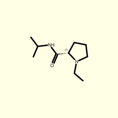 CCN1CCC[C@H]1C(=O)NC(C)C